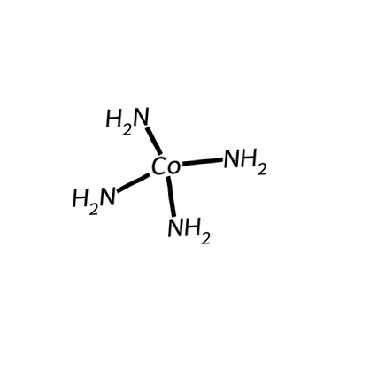 [NH2][Co]([NH2])([NH2])[NH2]